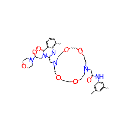 Cc1cc(C)cc(NC(=O)CN2CCOCCOCCN(Cc3nc4c(C)cccc4c(=O)n3CC(=O)N3CCOCC3)CCOCCOCC2)c1